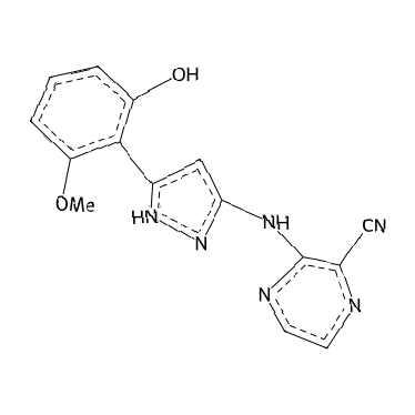 COc1cccc(O)c1-c1cc(Nc2nccnc2C#N)n[nH]1